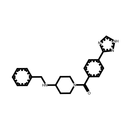 O=C(c1ccc(-c2nc[nH]n2)cc1)N1CCC(NCc2ccccc2)CC1